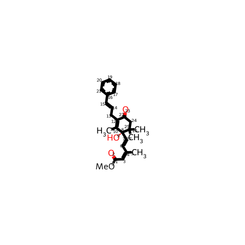 COC(=O)/C=C(C)\C=C\[C@@]1(O)C(C)=C(CC=Cc2ccccc2)C(=O)CC1(C)C